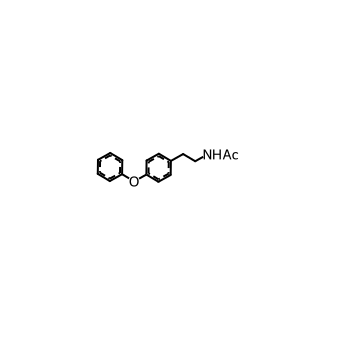 CC(=O)NCCc1ccc(Oc2ccccc2)cc1